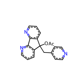 CC(=O)OC1(Cc2ccncc2)c2cccnc2-c2ncccc21